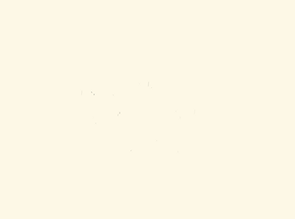 CC1C(C(=O)O)=C(F)C=CC1(CN)C(=O)O